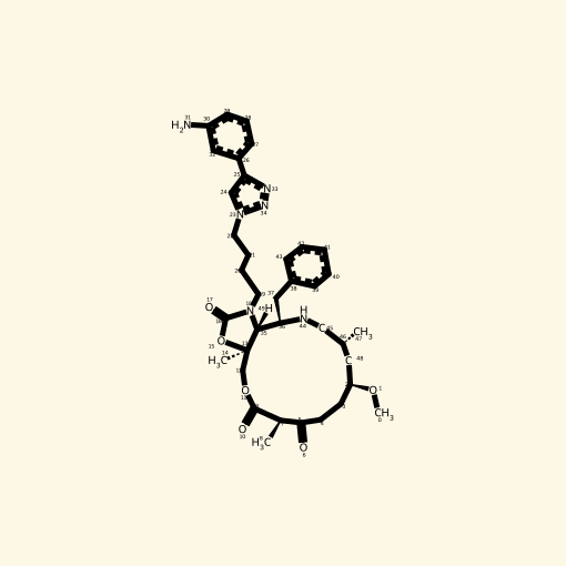 CO[C@H]1CCC(=O)[C@@H](C)C(=O)OC[C@@]2(C)OC(=O)N(CCCCn3cc(-c4cccc(N)c4)nn3)[C@@H]2[C@@H](Cc2ccccc2)NC[C@H](C)C1